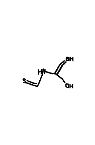 B=C(O)NC=S